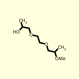 COC(C)COCCOCC(C)O